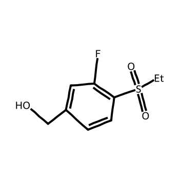 CCS(=O)(=O)c1ccc(CO)cc1F